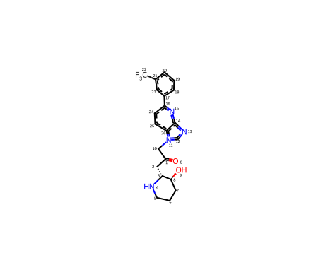 O=C(C[C@H]1NCCC[C@@H]1O)Cn1cnc2nc(-c3cccc(C(F)(F)F)c3)ccc21